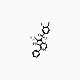 Nc1[nH]c2c(-c3ccccc3)ncnc2c1S(=O)(=O)c1ccc(F)c(F)c1